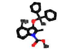 Cc1c(O[Si](c2ccccc2)(c2ccccc2)C(C)(C)C)c2c(C(=O)O)cccc2n1C(=O)OC(C)(C)C